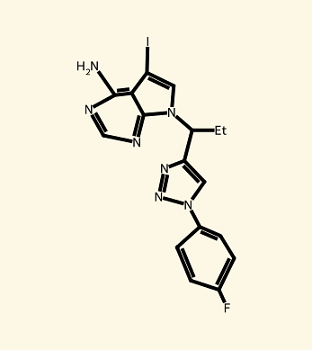 CCC(c1cn(-c2ccc(F)cc2)nn1)n1cc(I)c2c(N)ncnc21